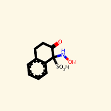 O=C1CCc2ccccc2C1(NO)S(=O)(=O)O